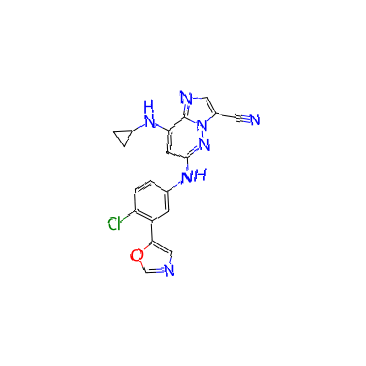 N#Cc1cnc2c(NC3CC3)cc(Nc3ccc(Cl)c(-c4cnco4)c3)nn12